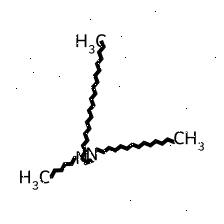 CCCCCCCCCCCCCCCCCCCC1N(CCCCCCC)C=CN1CCCCCCCCCCCCCCC